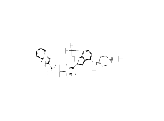 CN1CC[C@@H](Nc2cccc3c2cc(-c2noc(CNC(=O)c4cn5ccccc5n4)n2)n3CC(F)(F)F)[C@@H](F)C1